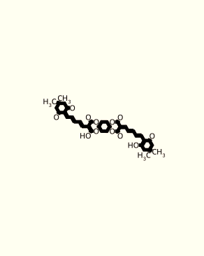 CC1(C)CC(=O)C(=C/C=C/C=C/C2=C(O)OC3(CCC4(CC3)OC(=O)C(=C/C=C/C=C/C3=C(O)CC(C)(C)CC3=O)C(=O)O4)OC2=O)C(=O)C1